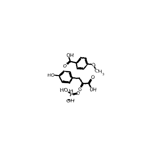 COc1ccc(C(=O)O)cc1.O=C(O)C(=O)Cc1ccc(O)cc1.O=[PH](O)O